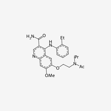 CCc1ccccc1Nc1c(C(N)=O)cnc2cc(OC)c(OCCN(C(C)=O)C(C)C)cc12